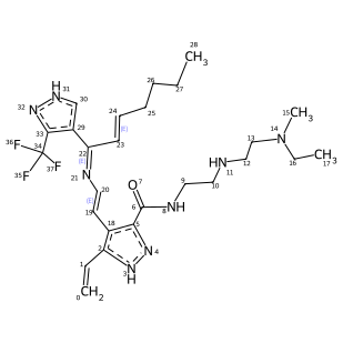 C=Cc1[nH]nc(C(=O)NCCNCCN(C)CC)c1/C=C/N=C(\C=C\CCCC)c1c[nH]nc1C(F)(F)F